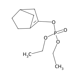 CCOP(=O)(OCC)OC1=C2CCC(C2)C1